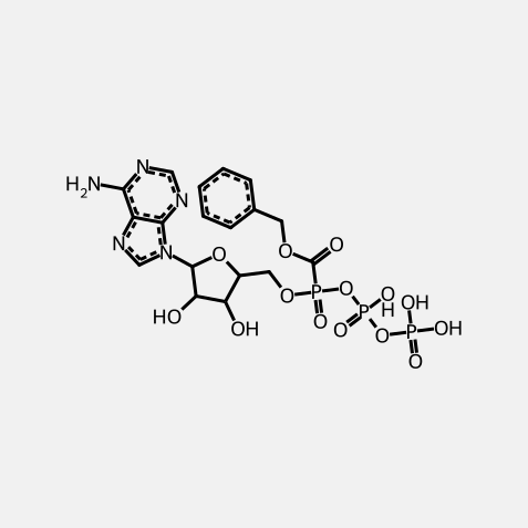 Nc1ncnc2c1ncn2C1OC(COP(=O)(OP(=O)(O)OP(=O)(O)O)C(=O)OCc2ccccc2)C(O)C1O